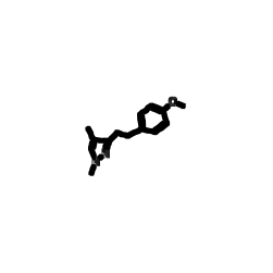 COc1ccc(CCc2nn(C)cc2C)cc1